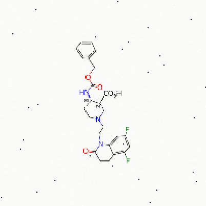 O=C(N[C@@H]1CCN(CCn2c(=O)ccc3c(F)cc(F)cc32)C[C@@H]1C(=O)O)OCc1ccccc1